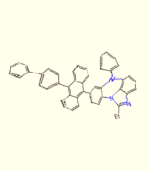 CCc1nc2cccc3c2n1-c1ccc(-c2c4ccccc4c(-c4ccc(-c5ccccc5)cc4)c4ccccc24)cc1N3c1ccccc1